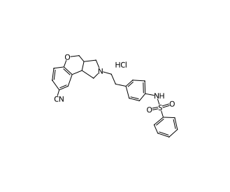 Cl.N#Cc1ccc2c(c1)C1CN(CCc3ccc(NS(=O)(=O)c4ccccc4)cc3)CC1CO2